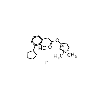 C[N+]1(C)CC[C@H](OC(=O)Cc2cccc(C3CCCC3)c2O)C1.[I-]